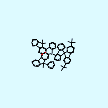 CC(C)(C)c1ccc2c(c1)C1(c3cc(C(C)(C)C)ccc3-2)c2ccccc2-c2c(N(c3ccc4c(c3)C(C)(c3ccccc3)c3ccccc3-4)c3ccccc3-c3cccc4c3C(C)(C)c3ccccc3-4)cccc21